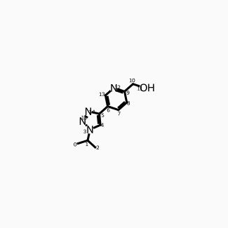 CC(C)n1cc(-c2ccc(CO)nc2)nn1